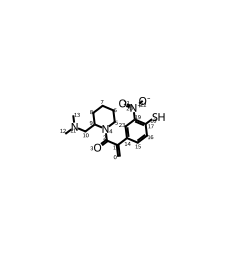 C=C(C(=O)N1CCCCC1CN(C)C)c1ccc(S)c([N+](=O)[O-])c1